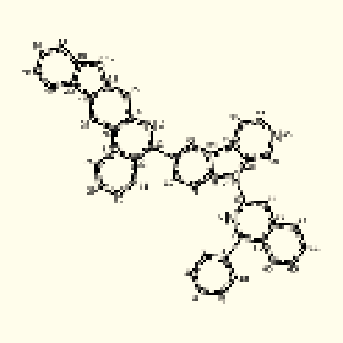 c1ccc(-c2nc(-n3c4ccc(-c5nc6cc7sc8ccccc8c7cc6c6ccccc56)cc4c4ccncc43)cc3ccccc23)cc1